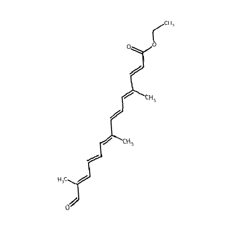 CCOC(=O)/C=C/C(C)=C/C=C/C(C)=C/C=C/C=C(\C)C=O